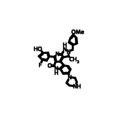 COc1ccc(CN2Nc3nc(-c4cc(O)cc(F)c4)c4c(=O)[nH]c5cc(N6CCNCC6)ccc5c4c3C2C)cc1